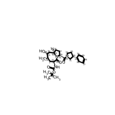 C[C@@H]1C[C@H](NC(=O)OC(C)(C)C)C(=O)N2[C@H](CC[C@H]2C(=O)N2CC[C@H](c3ccccc3)C2)C[C@H]1O